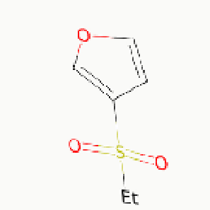 CCS(=O)(=O)c1ccoc1